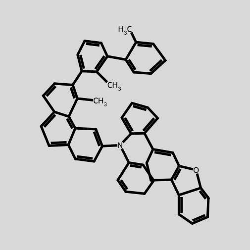 Cc1ccccc1-c1cccc(-c2ccc3ccc4ccc(N(C5=CCCC=C5)c5ccccc5C5=Cc6oc7ccccc7c6CC5)cc4c3c2C)c1C